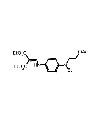 CCOC(=O)C(=CNc1ccc(N(CC)CCOC(C)=O)cc1)C(=O)OCC